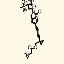 CN(C)CC(=O)OCC1(C#CC#Cc2cc3n(c2)C(=O)N(CC[C@](C)(C(=O)NO)S(C)(=O)=O)C3)CC1